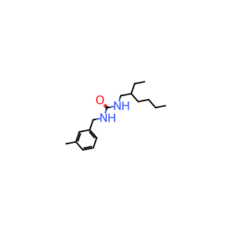 CCCCC(CC)CNC(=O)NCc1cccc(C)c1